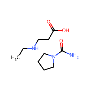 CCNCCC(=O)O.NC(=O)N1CCCC1